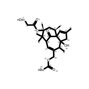 CCCCCCCCCCCC(=O)O[C@]1(C)C[C@@H](C)C23C=C(C)CC2(O)C(C)C(COC(=O)CCCC)=CC(C3=O)C1(C)C